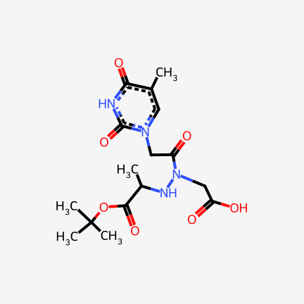 Cc1cn(CC(=O)N(CC(=O)O)NC(C)C(=O)OC(C)(C)C)c(=O)[nH]c1=O